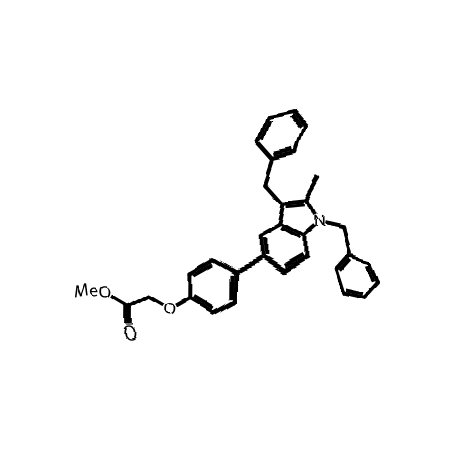 COC(=O)COc1ccc(-c2ccc3c(c2)c(Cc2ccccc2)c(C)n3Cc2ccccc2)cc1